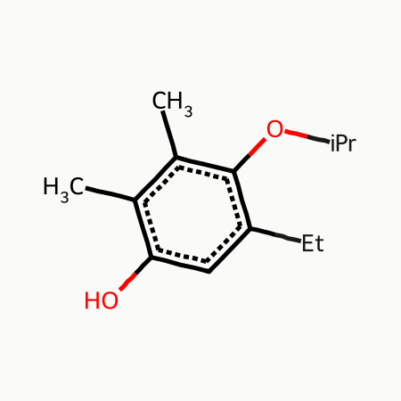 CCc1cc(O)c(C)c(C)c1OC(C)C